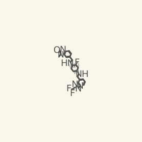 Cn1c(=O)n(C)c2cc(CN[C@@H]3CC[C@@H](NCc4cccn5nc(C(F)F)nc45)C[C@@H]3F)ccc21